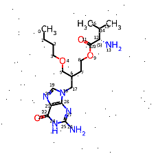 CCCCOCC(CCOC(=O)[C@@H](N)C(C)C)Cn1cnc2c(=O)[nH]c(N)nc21